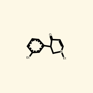 CCc1cccc(C2CN(CC)C=CC2=O)c1